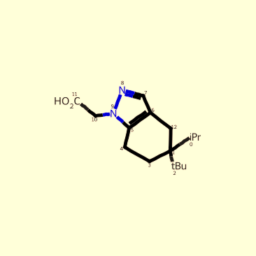 CC(C)C1(C(C)(C)C)CCc2c(cnn2CC(=O)O)C1